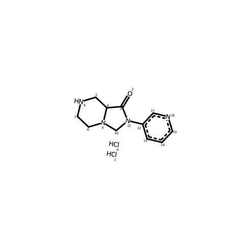 Cl.Cl.O=C1C2CNCCN2CN1c1cccnc1